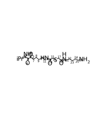 CC(C)[C@H](N)C(=O)C(=O)CCCCCNC(=O)CSCC(=O)NCCCCCN